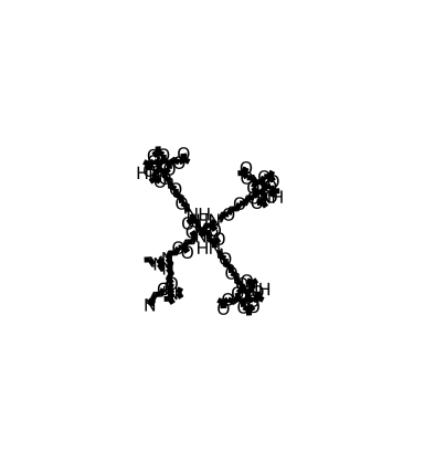 CCCN1CN(CCOC(=O)CCC(=O)NC(CCC(=O)NCCOCCOCCOC2OC(COC(C)=O)C(OC(C)=O)C(OC(C)=O)C2NC(C)=O)(CCC(=O)NCCOCCOCCOC2OC(COC(C)=O)C(OC(C)=O)C(OC(C)=O)C2NC(C)=O)CC(=O)NCCOCCOCCOC2OC(COC(C)=O)C(OC(C)=O)C(OC(C)=O)C2NC(C)=O)CN(CCOP(OCCC#N)N(C(C)C)C(C)C)C1